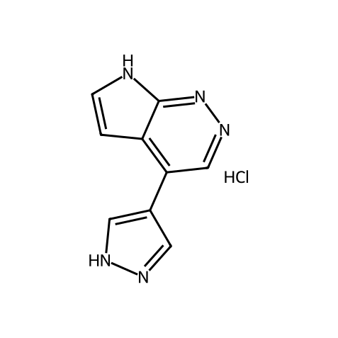 Cl.c1cc2c(-c3cn[nH]c3)cnnc2[nH]1